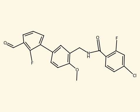 COc1ccc(-c2cccc(C=O)c2F)cc1CNC(=O)c1ccc(Cl)cc1F